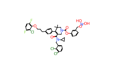 CC1(C)CN(C(=O)Oc2cccc(CON(O)O)c2)CC(C(=O)N(Cc2cccc(Cl)c2Cl)C2CC2)=C1c1ccc(CCCOc2c(F)ccc(F)c2Cl)cc1